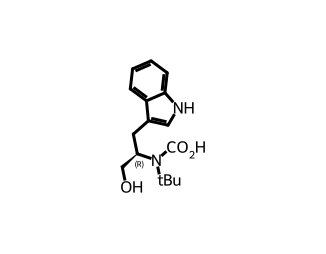 CC(C)(C)N(C(=O)O)[C@@H](CO)Cc1c[nH]c2ccccc12